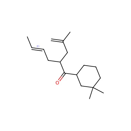 C=C(C)CC(C/C=C/C)C(=O)C1CCCC(C)(C)C1